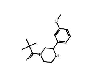 COc1cccc(C2CN(C(=O)C(C)(C)C)CCN2)c1